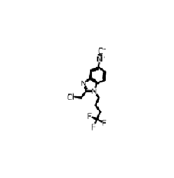 [C-]#[N+]c1ccc2c(c1)nc(CCl)n2CCCC(F)(F)F